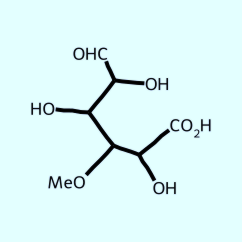 COC(C(O)C(=O)O)C(O)C(O)C=O